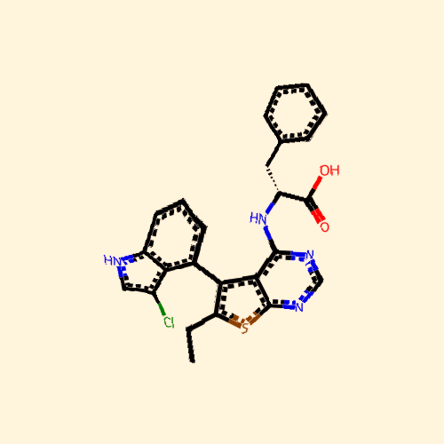 CCc1sc2ncnc(N[C@H](Cc3ccccc3)C(=O)O)c2c1-c1cccc2[nH]cc(Cl)c12